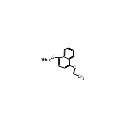 CCCCCCSc1ccc(OCC(F)(F)F)c2ccccc12